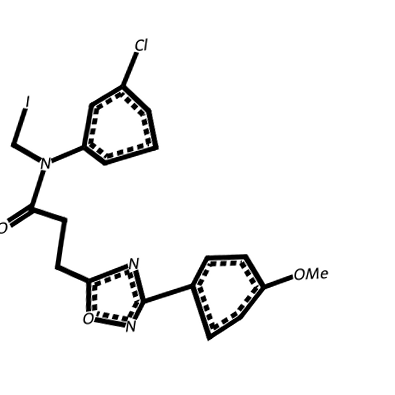 COc1ccc(-c2noc(CCC(=O)N(CI)c3cccc(Cl)c3)n2)cc1